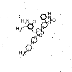 CCc1cc(C[C@@H](OC(=O)N2CCC3(CC2)OC(=O)Nc2ccccc23)C(=O)N2CCN(C3CCN(C)CC3)CC2)cc(Cl)c1N